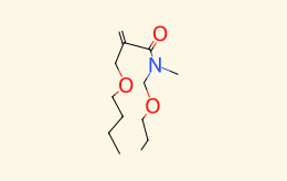 C=C(COCCCC)C(=O)N(C)COCCC